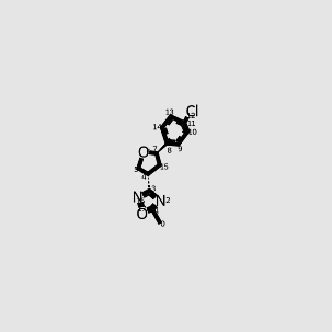 Cc1nc([C@@H]2CO[C@@H](c3ccc(Cl)cc3)C2)no1